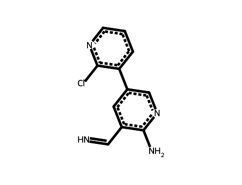 N=Cc1cc(-c2cccnc2Cl)cnc1N